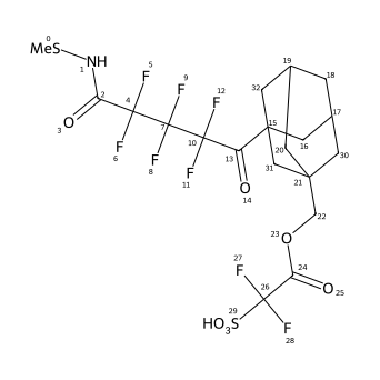 CSNC(=O)C(F)(F)C(F)(F)C(F)(F)C(=O)C12CC3CC(CC(COC(=O)C(F)(F)S(=O)(=O)O)(C3)C1)C2